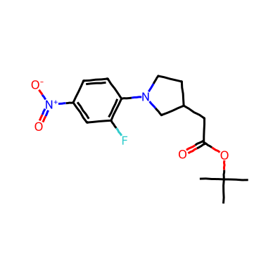 CC(C)(C)OC(=O)CC1CCN(c2ccc([N+](=O)[O-])cc2F)C1